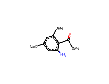 COC(=O)c1c(N)cc(OC)cc1OC